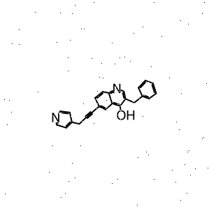 Oc1c(Cc2ccccc2)cnc2ccc(C#CCc3ccncc3)cc12